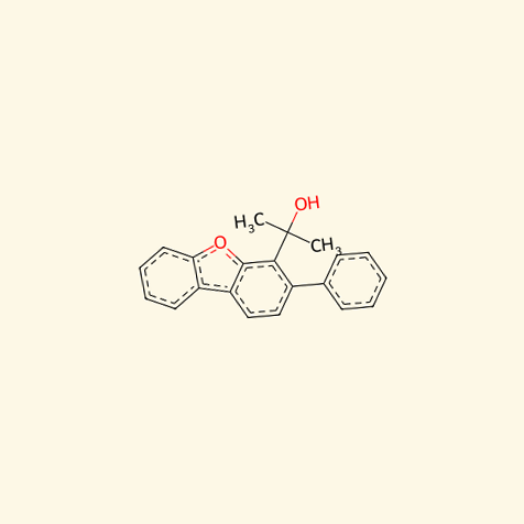 CC(C)(O)c1c(-c2ccccc2)ccc2c1oc1ccccc12